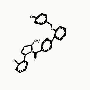 O=C(O)[C@@H]1CCC(c2ccccc2Cl)N1C(=O)c1ccc(-c2ccccc2OCc2ccc(F)cc2)cc1